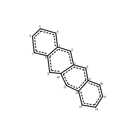 [c]1c2[c]c3ccccc3[c]c2[c]c2ccccc12